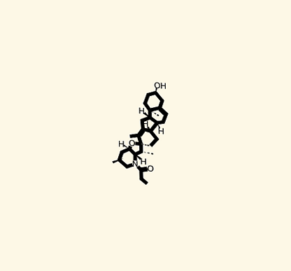 CCC(=O)N1C[C@@H](C)C[C@H]2O[C@]3(CC[C@@H]4C(=C3C)C[C@H]3[C@H]4CC=C4C[C@@H](O)CC[C@@]43C)[C@H](C)[C@@H]21